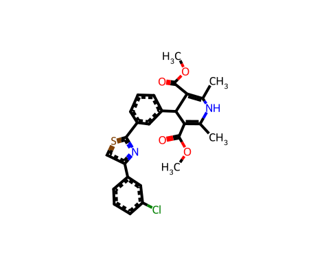 COC(=O)C1=C(C)NC(C)=C(C(=O)OC)C1c1cccc(-c2nc(-c3cccc(Cl)c3)cs2)c1